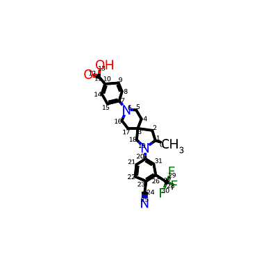 CC1CC2(CCN(c3ccc(C(=O)O)cc3)CC2)CN1c1ccc(C#N)c(C(F)(F)F)c1